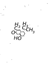 CC1=CC2C(=C(O)CC[C@H]2C(C)C)CC1=O